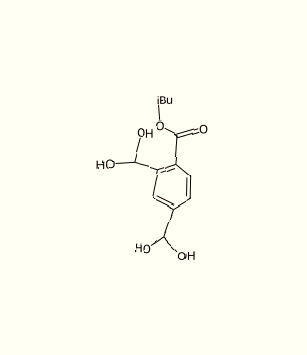 CCC(C)OC(=O)c1ccc(C(O)O)cc1C(O)O